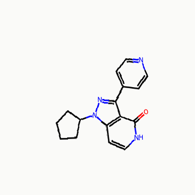 O=c1[nH]ccc2c1c(-c1ccncc1)nn2C1CCCC1